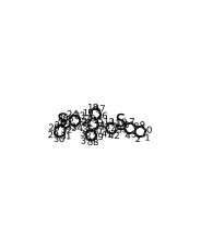 c1ccc2cc3c(cc2c1)sc1cc(-c2c4ccccc4c(-c4ccc5sc6ccccc6c5c4)c4ccccc24)ccc13